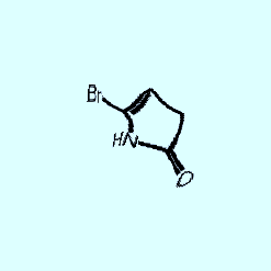 O=C1CC=C(Br)N1